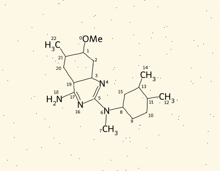 COC1CC2N=C(N(C)C3CCC(C)C(C)C3)N=C(N)C2CC1C